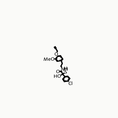 C#CCOc1ccc(CCNC(=O)C(O)(S)c2ccc(Cl)cc2)cc1OC